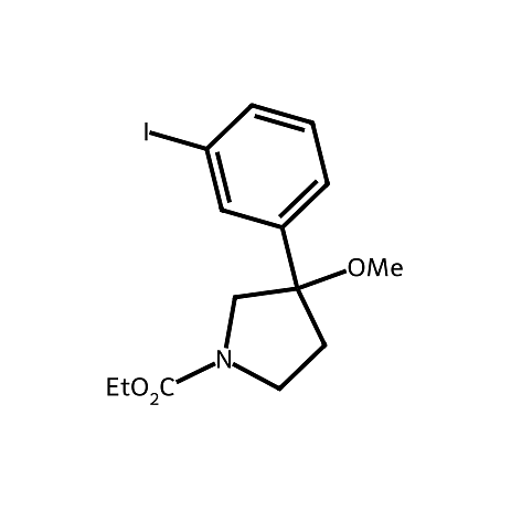 CCOC(=O)N1CCC(OC)(c2cccc(I)c2)C1